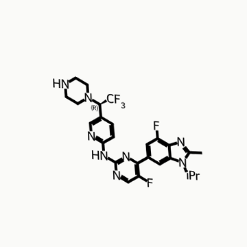 Cc1nc2c(F)cc(-c3nc(Nc4ccc([C@@H](N5CCNCC5)C(F)(F)F)cn4)ncc3F)cc2n1C(C)C